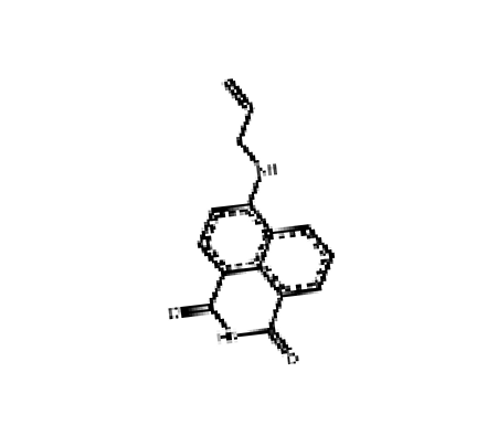 C=CCNc1ccc2c3c(cccc13)C(=O)NC2=O